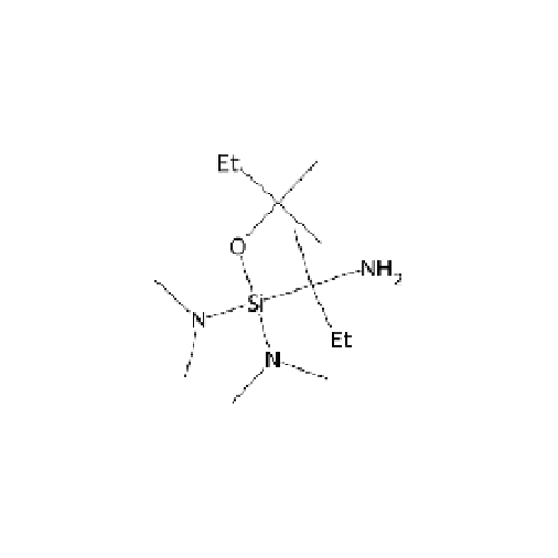 CCC(C)(C)O[Si](N(C)C)(N(C)C)C(C)(N)CC